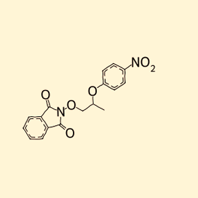 CC(CON1C(=O)c2ccccc2C1=O)Oc1ccc([N+](=O)[O-])cc1